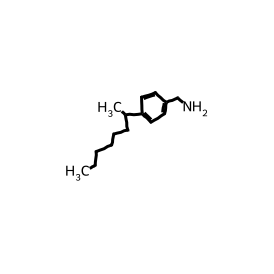 CCCCCCC(C)c1ccc(CN)cc1